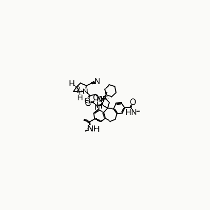 C=C(NC)c1ccc2c(c1)CCc1cc(C(=O)NC)ccc1C2(C[C@H](C)NCC(=O)N1C(C#N)C[C@@H]2C[C@@H]21)c1nc(=O)on1C1CCCCC1